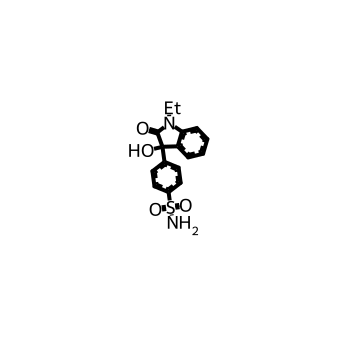 CCN1C(=O)C(O)(c2ccc(S(N)(=O)=O)cc2)c2ccccc21